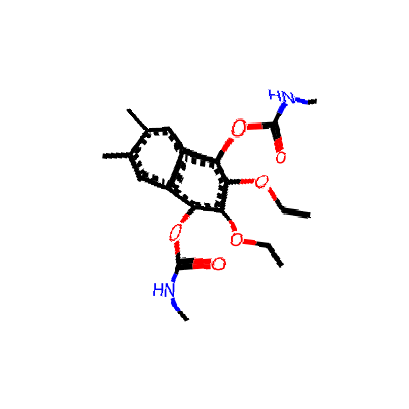 CCOc1c(OCC)c(OC(=O)NC)c2cc(C)c(C)cc2c1OC(=O)NC